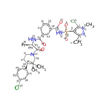 Cc1nn(C)c(Cl)c1S(=O)(=O)NC(=O)c1cccc(C(=O)N[C@@H](C(=O)N2CC[C@H](c3ccc(Cl)cc3)C(C)(C)C2)C(C)C)c1